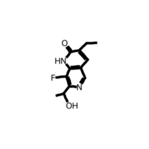 CCc1cc2cnc(C(C)O)c(F)c2[nH]c1=O